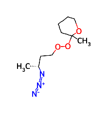 C[C@H](CCOOC1(C)CCCCO1)N=[N+]=[N-]